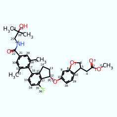 COC(=O)CC1COc2cc(O[C@@H]3CCc4c(-c5c(C)cc(C(=O)NCC(C)(C)O)cc5C)ccc(F)c43)ccc21